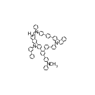 CN(c1ccccc1)c1ccc(-c2ccc(-c3ccc4c5c6ccccc6ccc5n(-c5cccc(-c6cccc(-c7cc(-c8ccc(N(C)c9ccccc9)cc8)ccc7-c7ccc8c9cc%10ccccc%10cc9n(-c9cccc(-c%10ccccc%10)c9)c8c7)c6)c5)c4c3)cc2)cc1